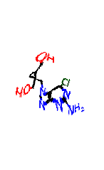 Nc1nc(Cl)c2c(ncn2C[C@@]2(CO)C[C@H]2CO)n1